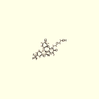 Cn1c(=O)n(CCOCCO)c(=O)c2c1nc(Oc1cccc(C(F)(F)F)c1)n2Cc1ccc(Cl)cc1